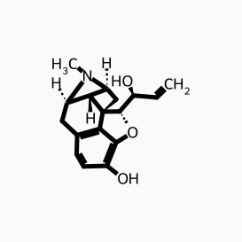 C=C[C@H](O)[C@@H]1Oc2c(O)ccc3c2[C@@]12C[C@H]1[C@H]2[C@@H](C3)N1C